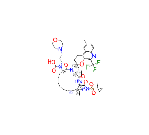 Cc1ccc2nc(C(F)(F)F)c3c(c2c1)CC[C@]1(C[C@H]2C(=O)N[C@]4(C(=O)NS(=O)(=O)C5(C)CC5)C[C@H]4/C=C\CCCCC[C@H](N(CCCN4CCOCC4)C(=O)O)C(=O)N2C1)O3